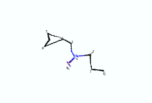 CCCN(I)CC1CC1